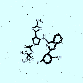 CC1OC(C2CN(C(=O)OC(C)(C)C)C[C@H]2Nc2nc(-c3cc(Br)ccc3O)nc3ccccc23)O1